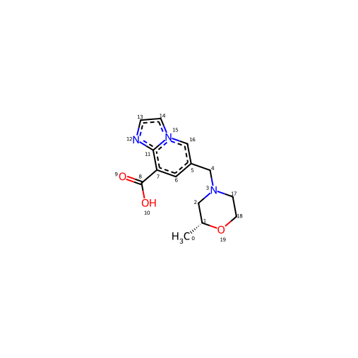 C[C@@H]1CN(Cc2cc(C(=O)O)c3nccn3c2)CCO1